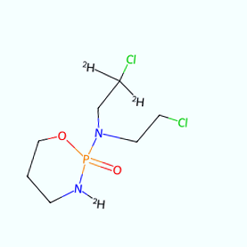 [2H]N1CCCOP1(=O)N(CCCl)CC([2H])([2H])Cl